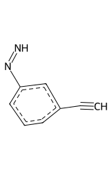 C#Cc1cccc(N=N)c1